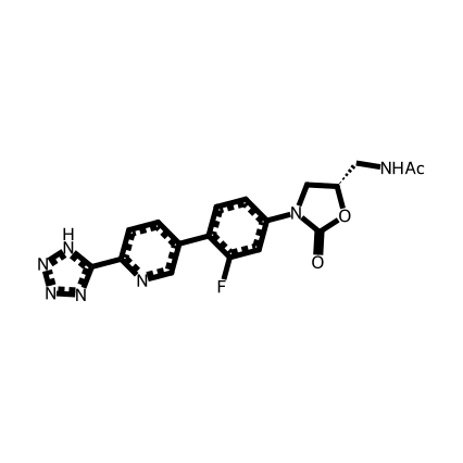 CC(=O)NC[C@H]1CN(c2ccc(-c3ccc(-c4nnn[nH]4)nc3)c(F)c2)C(=O)O1